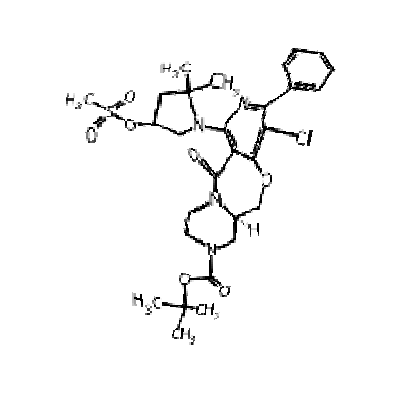 CC(C)(C)OC(=O)N1CCN2C(=O)c3c(N4C[C@@H](OS(C)(=O)=O)CC4(C)C)nc(-c4ccccc4)c(Cl)c3OC[C@H]2C1